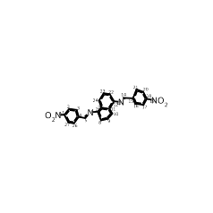 O=[N+]([O-])c1ccc(C=Nc2cccc3c(N=Cc4ccc([N+](=O)[O-])cc4)cccc23)cc1